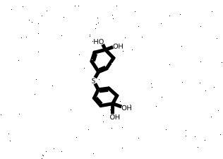 OC1(O)C=CC(SC2=CCC(O)(O)C=C2)=CC1